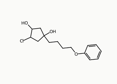 OC1CC(O)(CCCCOc2ccccc2)CC1Cl